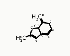 C=C1CC=C=C2C=C(C)SC12